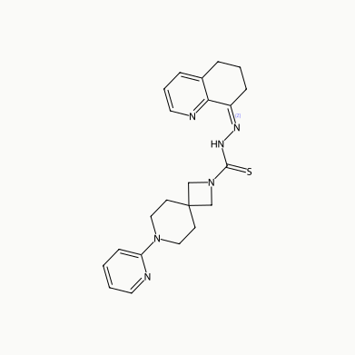 S=C(N/N=C1/CCCc2cccnc21)N1CC2(CCN(c3ccccn3)CC2)C1